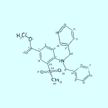 COC(=O)c1ccc(N(Cc2ccccc2)Cc2ccccc2)c(S(C)(=O)=O)c1